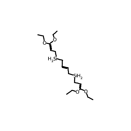 CCOC(=CC[SiH2]CC=CC[SiH2]CC=C(OCC)OCC)OCC